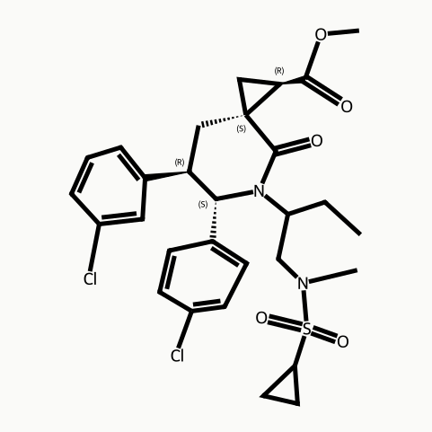 CCC(CN(C)S(=O)(=O)C1CC1)N1C(=O)[C@@]2(C[C@H](c3cccc(Cl)c3)[C@H]1c1ccc(Cl)cc1)C[C@H]2C(=O)OC